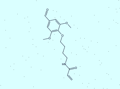 C=CC(=O)NCCCCOc1c(OC)cc(C=O)cc1OC